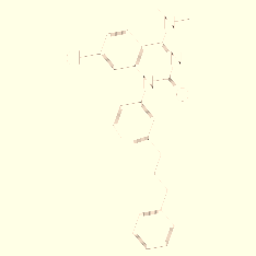 C=C(/C=C(\C=C/C)n1c(=O)nc(N(C)C)c2ccc(Cl)cc21)CCCc1ccccc1